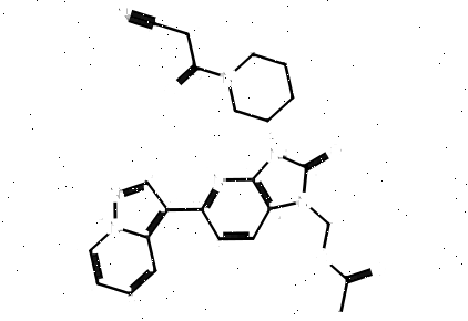 CC(=O)OCn1c(=O)n([C@H]2CCCN(C(=O)CC#N)C2)c2nc(-c3cnn4ccccc34)ccc21